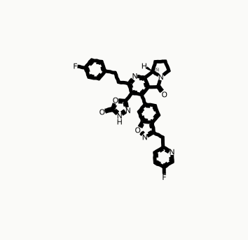 O=C1c2c(nc(CCc3ccc(F)cc3)c(-c3n[nH]c(=O)o3)c2-c2ccc3c(Cc4ccc(F)cn4)noc3c2)[C@@H]2CCCN12